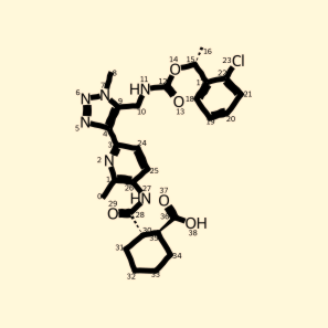 Cc1nc(-c2nnn(C)c2CNC(=O)O[C@H](C)c2ccccc2Cl)ccc1NC(=O)[C@H]1CCCC[C@@H]1C(=O)O